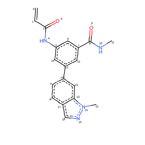 C=CC(=O)Nc1cc(C(=O)NC)cc(-c2ccc3cnn(C)c3c2)c1